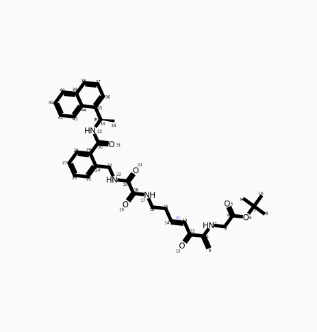 C=C(NCC(=O)OC(C)(C)C)C(=O)/C=C/CCNC(=O)C(=O)NCc1ccccc1C(=O)N[C@H](C)c1cccc2ccccc12